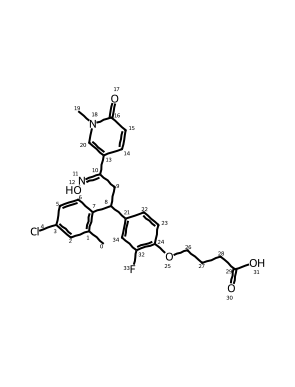 Cc1cc(Cl)ccc1C(C/C(=N\O)c1ccc(=O)n(C)c1)c1ccc(OCCCC(=O)O)c(F)c1